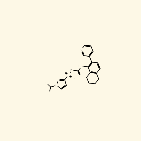 CC(C)n1ccc(S(=O)(=O)NC(=O)Nc2c(-c3cccnc3)ccc3c2CCCC3)n1